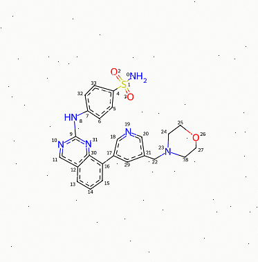 NS(=O)(=O)c1ccc(Nc2ncc3cccc(-c4cncc(CN5CCOCC5)c4)c3n2)cc1